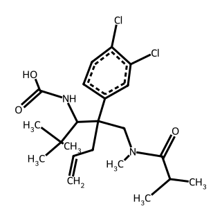 C=CCC(CN(C)C(=O)C(C)C)(c1ccc(Cl)c(Cl)c1)C(NC(=O)O)C(C)(C)C